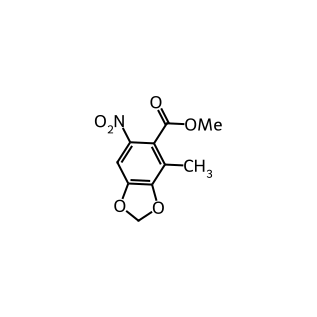 COC(=O)c1c([N+](=O)[O-])cc2c(c1C)OCO2